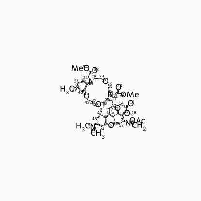 C=[N+]=c1ccc2c(-c3cc4c(cc3OCC(=O)OCOC(C)=O)N(CC(=O)OC)CCOCCN(CC(=O)OC)c3ccc(C)cc3OCCO4)c3ccc(N(C)C)cc3oc-2c1